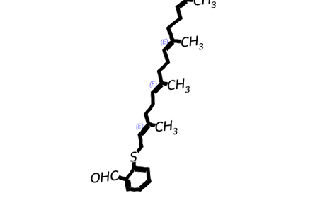 CC(C)=CCC/C(C)=C/CC/C(C)=C/CC/C(C)=C/CSc1ccccc1C=O